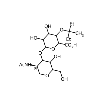 CCC(C)(CC)OC1C(C(=O)O)OC(OC2C(O)C(CO)OC[C@H]2NC(C)=O)C(O)C1O